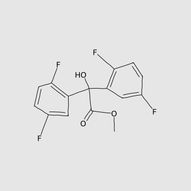 COC(=O)C(O)(c1cc(F)ccc1F)c1cc(F)ccc1F